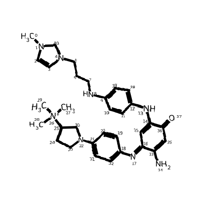 CN1C=CN(CCCNc2ccc(NC3=CC(=Nc4ccc(N5CCC([N+](C)(C)C)C5)cc4)C(N)=CC3=O)cc2)C1